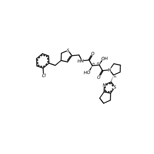 O=C(NCC1=CC(Cc2ccccc2Cl)CS1)[C@H](O)[C@@H](O)C(=O)N1CCC[C@@H]1c1nc2c(s1)CCC2